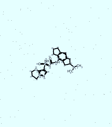 CN(C)C1Cc2cc3c(c(NC(=O)N=S(N)(=O)c4cnn5c4OCCC5)c2C1)CCC3